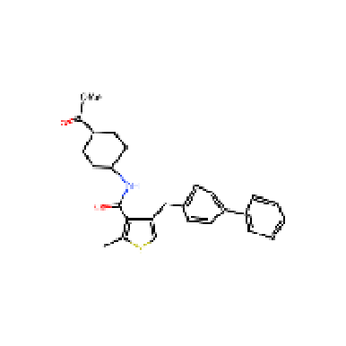 COC(=O)C1CCC(NC(=O)c2c(Cc3ccc(-c4ccccc4)cc3)csc2C)CC1